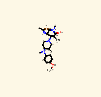 Cc1nc2c(N3CC[C@H](N(C)c4ccc(OC(F)(F)F)cc4)[C@H](C)C3)c(C#N)c(=O)n(C)c2s1